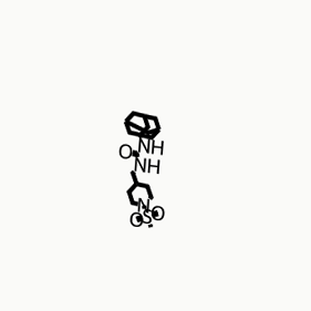 CS(=O)(=O)N1CCC(CNC(=O)NC23CC4CC(CC(C4)C2)C3)CC1